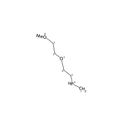 COCCOCCPC